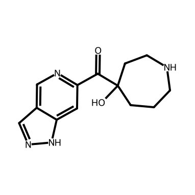 O=C(c1cc2[nH]ncc2cn1)C1(O)CCCNCC1